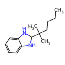 CCCCC(C)(C)C1Nc2ccccc2N1